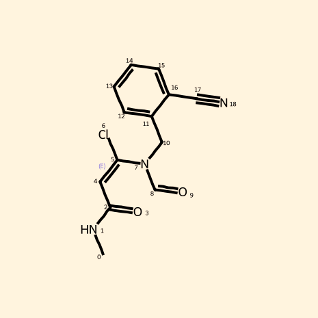 CNC(=O)/C=C(/Cl)N(C=O)Cc1ccccc1C#N